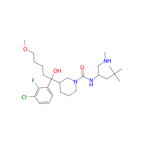 CNCC(CC(C)(C)C)NC(=O)N1CCCC(C(O)(CCCCOC)c2cccc(Cl)c2F)C1